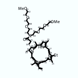 C=Cc1c(C)c2cc3nc(c(C)c4cc(C)c(cc5nc(cc1[nH]2)C(C)=C5CC)[nH]4)[C@@H](CCC(=O)N(CCOCCOCCOC)CCOCCOCCOC)[C@@H]3C